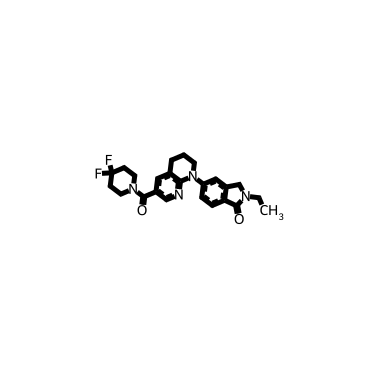 CCN1Cc2cc(N3CCCc4cc(C(=O)N5CCC(F)(F)CC5)cnc43)ccc2C1=O